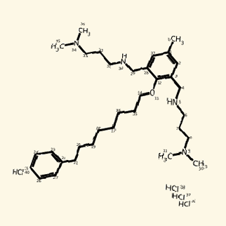 Cc1cc(CNCCCN(C)C)c(OCCCCCCCCc2ccccc2)c(CNCCCN(C)C)c1.Cl.Cl.Cl.Cl